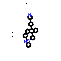 c1ccc(-c2nc3ccccc3n2-c2cccc(-c3c4ccccc4c(-c4ccc(-c5ccncc5)cc4)c4ccccc34)c2)cc1